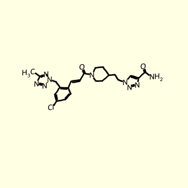 Cc1nnn(Cc2cc(Cl)ccc2/C=C/C(=O)N2CCC(CCn3cc(C(N)=O)nn3)CC2)n1